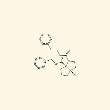 O=C(CCCc1ccccc1)N1CC[C@@H]2CCC[C@@]21C(=O)OCc1ccccc1